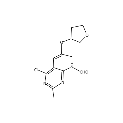 C/C(=C\c1c(Cl)nc(C)nc1NC=O)OC1CCOC1